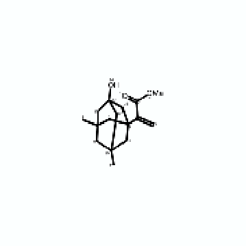 C=C(C(=O)OC)C12CC3(C)CC(C)(CC(O)(C3)C1)C2